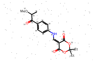 CCC1(CC)OC(=O)C(=CNc2ccc(C(=O)C(C)OC)cc2)C(=O)O1